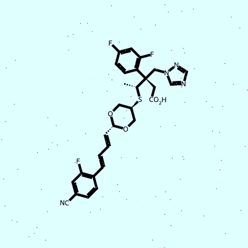 C[C@@H](S[C@H]1CO[C@H](/C=C/C=C/c2ccc(C#N)cc2F)OC1)[C@@](CC(=O)O)(Cn1cncn1)c1ccc(F)cc1F